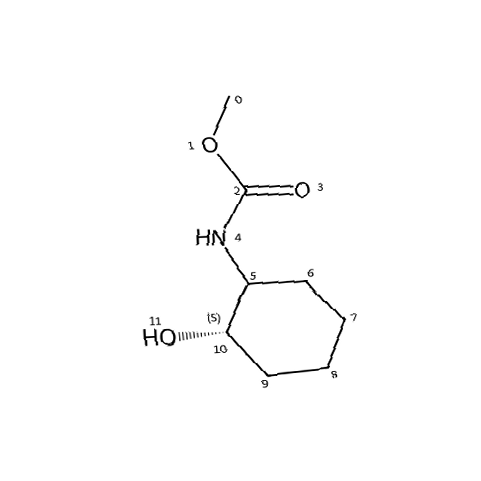 COC(=O)NC1CCCC[C@@H]1O